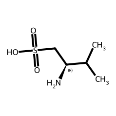 CC(C)[C@@H](N)CS(=O)(=O)O